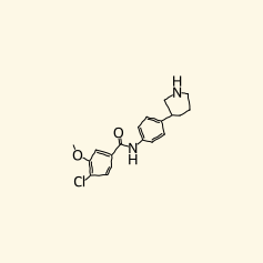 COc1cc(C(=O)Nc2ccc(C3CCCNC3)cc2)ccc1Cl